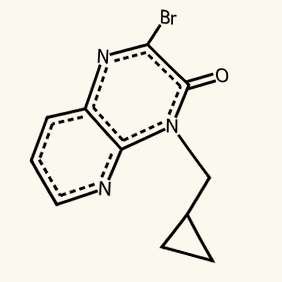 O=c1c(Br)nc2cccnc2n1CC1CC1